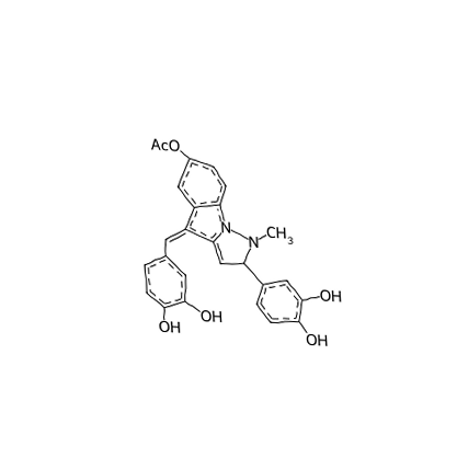 CC(=O)Oc1ccc2c(c1)/c(=C/c1ccc(O)c(O)c1)c1n2N(C)C(c2ccc(O)c(O)c2)C=1